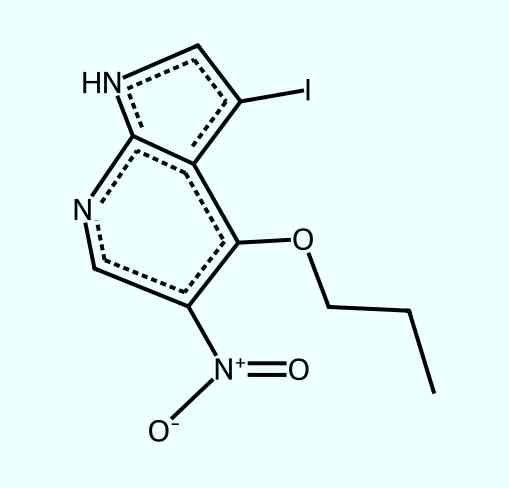 CCCOc1c([N+](=O)[O-])cnc2[nH]cc(I)c12